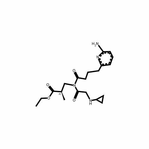 CCOC(=O)[C@H](C)CN(C(=O)CCCc1cccc(N)n1)C(=O)CNC1CC1